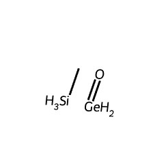 C[SiH3].[O]=[GeH2]